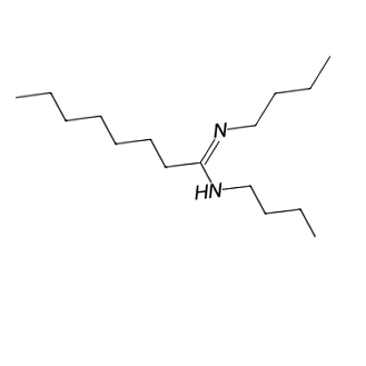 CCCCCCCC(=NCCCC)NCCCC